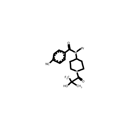 CC(C)N(C(=O)c1ccc(C#N)cc1)C1CCN(C(=O)C(C)(O)C(F)(F)F)CC1